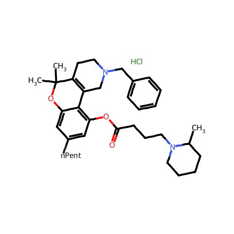 CCCCCc1cc(OC(=O)CCCN2CCCCC2C)c2c(c1)OC(C)(C)C1=C2CN(Cc2ccccc2)CC1.Cl